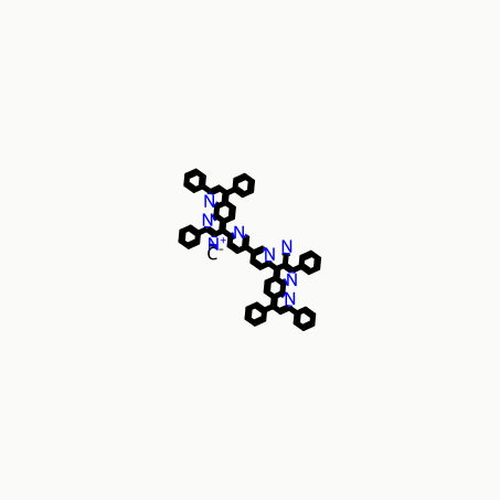 [C-]#[N+]c1c(-c2ccccc2)nc2c(ccc3c(-c4ccccc4)cc(-c4ccccc4)nc32)c1-c1ccc(-c2ccc(-c3c(C#N)c(-c4ccccc4)nc4c3ccc3c(-c5ccccc5)cc(-c5ccccc5)nc34)nc2)cn1